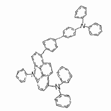 c1ccc(N(c2ccccc2)c2ccc(-c3ccc(-c4ccc5c6c4ccc4c(N(c7ccccc7)c7ccccc7)ccc(c46)n5-c4ccccc4)cc3)cc2)cc1